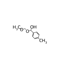 COCOC(O)c1ccc(C)cc1